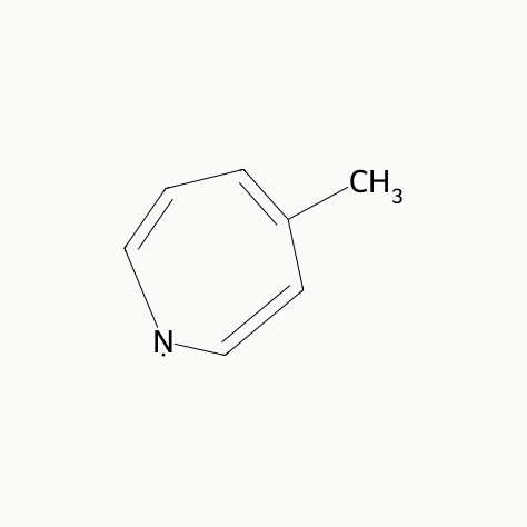 CC1=CC=C[N]C=C1